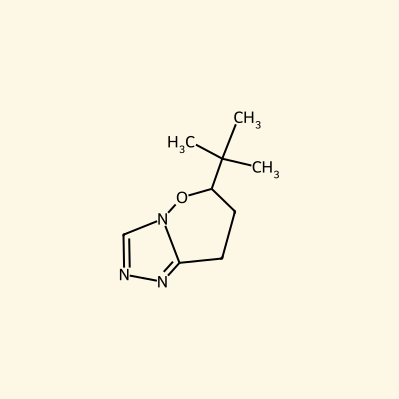 CC(C)(C)C1CCc2nncn2O1